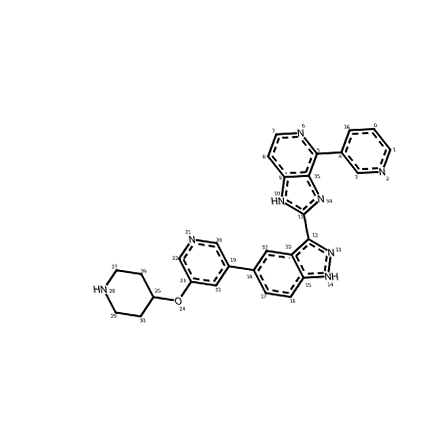 c1cncc(-c2nccc3[nH]c(-c4n[nH]c5ccc(-c6cncc(OC7CCNCC7)c6)cc45)nc23)c1